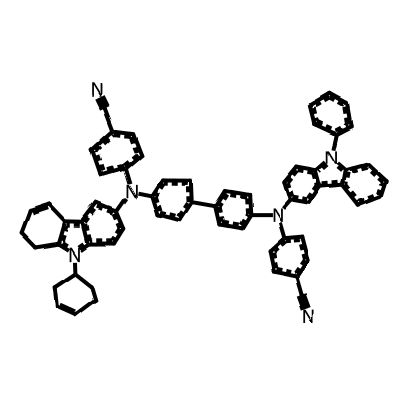 N#Cc1ccc(N(c2ccc(-c3ccc(N(c4ccc(C#N)cc4)c4ccc5c(c4)c4ccccc4n5-c4ccccc4)cc3)cc2)c2ccc3c(c2)c2c(n3C3CC=CCC3)CCC=C2)cc1